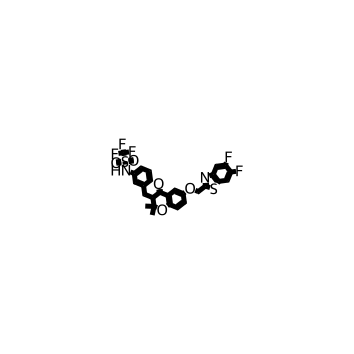 CC1(C)Oc2ccc(OCc3nc4cc(F)c(F)cc4s3)cc2C(=O)C1Cc1cccc(NS(=O)(=O)C(F)(F)F)c1